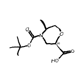 CC1CO[C@@H](C(=O)O)CN1C(=O)OC(C)(C)C